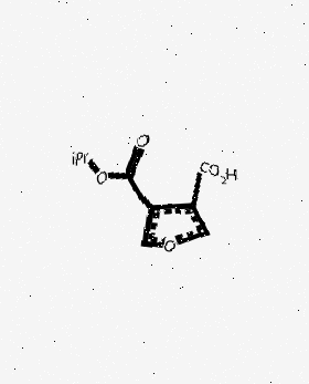 CC(C)OC(=O)c1cocc1C(=O)O